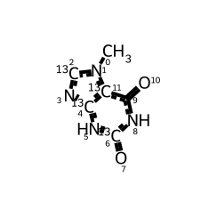 Cn1[13cH]n[13c]2[nH][13c](=O)[nH]c(=O)[13c]21